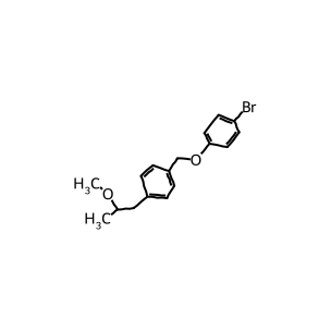 COC(C)Cc1ccc(COc2ccc(Br)cc2)cc1